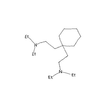 CCN(CC)CCC1(CCN(CC)CC)CCCCC1